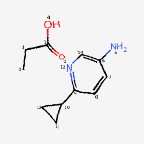 CCC(=O)O.Nc1ccc(C2CC2)nc1